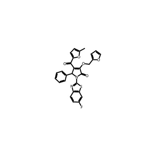 Cc1ccc(C(=O)C2=C(OCc3ccco3)C(=O)N(c3nc4ccc(F)cc4s3)C2c2ccccc2)o1